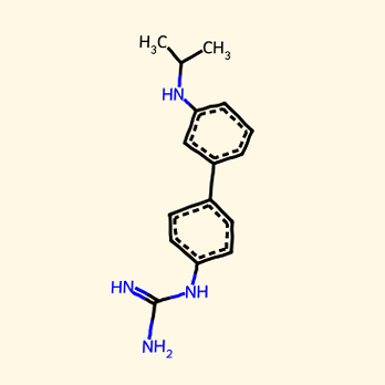 CC(C)Nc1cccc(-c2ccc(NC(=N)N)cc2)c1